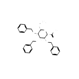 CO[C@H]1O[C@@H](C(=O)O)[C@@H](OCc2ccccc2)[C@H](OCc2ccccc2)[C@H]1OCc1ccccc1